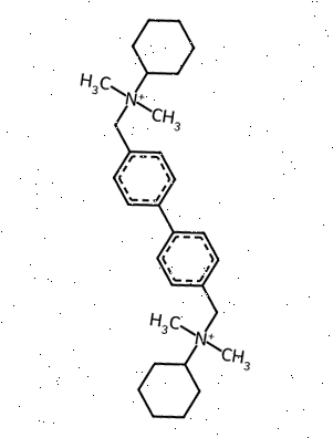 C[N+](C)(Cc1ccc(-c2ccc(C[N+](C)(C)C3CCCCC3)cc2)cc1)C1CCCCC1